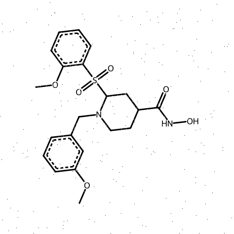 COc1cccc(CN2CCC(C(=O)NO)CC2S(=O)(=O)c2ccccc2OC)c1